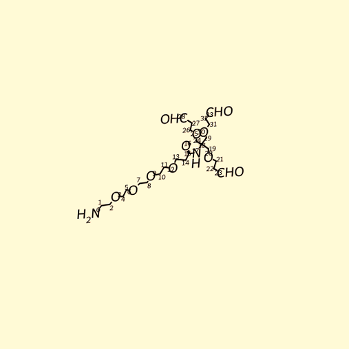 NCCOCCOCCOCCOCCC(=O)NC(COCCC=O)(COCCC=O)COCCC=O